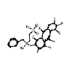 CC[Si](CC)(CC)CC[Si](Cc1ccccc1)(Oc1c(F)c(F)c2c(F)c3c(F)c(F)c(F)[c]c3c(F)c2c1F)C(C)C